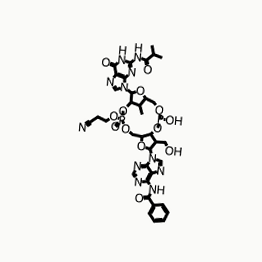 CC(C)C(=O)Nc1nc2c(ncn2C2OC3COP(O)OC4C(COP(=O)(OCCC#N)OC2C3C)OC(n2cnc3c(NC(=O)c5ccccc5)ncnc32)C4CO)c(=O)[nH]1